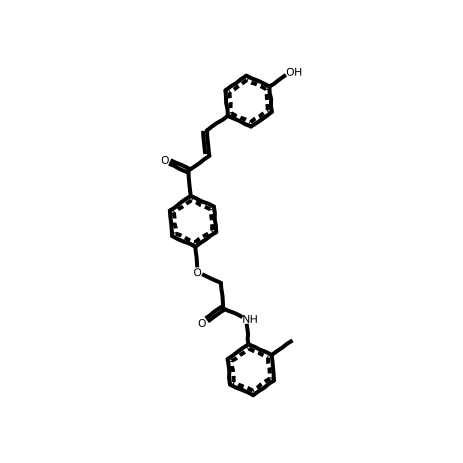 Cc1ccccc1NC(=O)COc1ccc(C(=O)/C=C/c2ccc(O)cc2)cc1